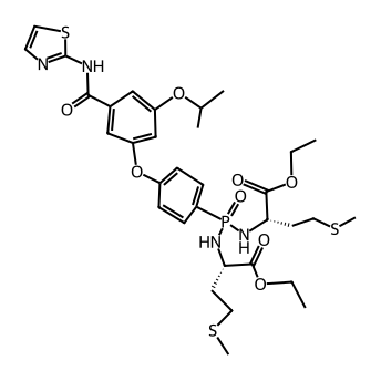 CCOC(=O)[C@H](CCSC)NP(=O)(N[C@@H](CCSC)C(=O)OCC)c1ccc(Oc2cc(OC(C)C)cc(C(=O)Nc3nccs3)c2)cc1